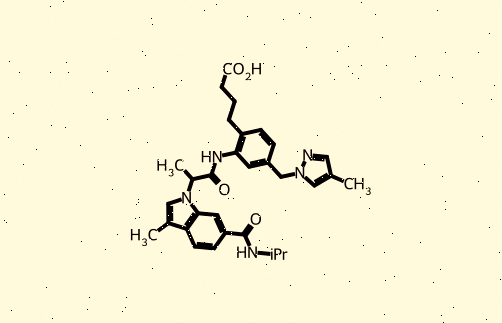 Cc1cnn(Cc2ccc(CCCC(=O)O)c(NC(=O)C(C)n3cc(C)c4ccc(C(=O)NC(C)C)cc43)c2)c1